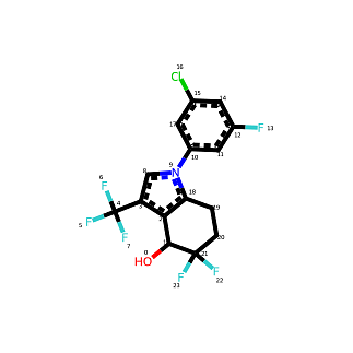 OC1c2c(C(F)(F)F)cn(-c3cc(F)cc(Cl)c3)c2CCC1(F)F